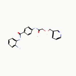 Nc1ccccc1NC(=O)c1ccc(NC(=O)COCc2cccnc2)cc1